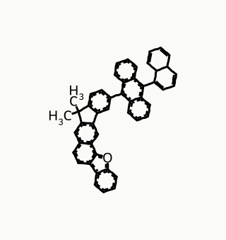 CC1(C)c2ccc(-c3c4ccccc4c(C4=CC=CC5C=CC=CC45)c4ccccc34)cc2-c2cc3c(ccc4c5ccccc5oc34)cc21